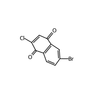 O=C1C=C(Cl)C(=O)c2ccc(Br)cc21